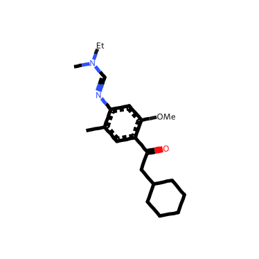 CCN(C)C=Nc1cc(OC)c(C(=O)CC2CCCCC2)cc1C